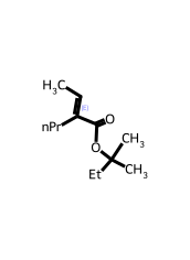 C/C=C(\CCC)C(=O)OC(C)(C)CC